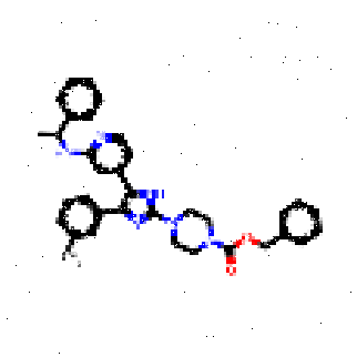 CC(Nc1cc(-c2[nH]c(N3CCN(C(=O)OCc4ccccc4)CC3)nc2-c2cccc(C(F)(F)F)c2)ccn1)c1ccccc1